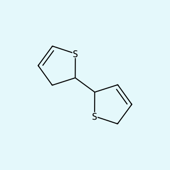 C1=CC(C2CC=CS2)SC1